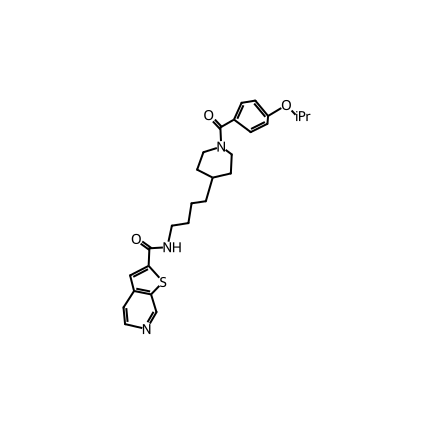 CC(C)Oc1ccc(C(=O)N2CCC(CCCCNC(=O)c3cc4ccncc4s3)CC2)cc1